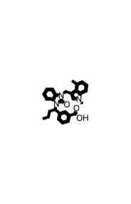 CCCC(c1cccc(C(=O)O)c1)n1c(=O)n(Cc2cn(C)c3cccc(C)c23)c2ccccc21